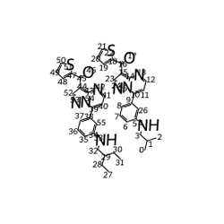 CC(C)CNc1cccc(-c2ccnc3c(C(=O)c4cccs4)cnn23)c1.CCC(CC)CNc1cccc(-c2ccnc3c(C(=O)c4cccs4)cnn23)c1